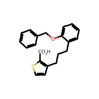 O=C(O)c1sccc1CCCc1ccccc1OCc1ccccc1